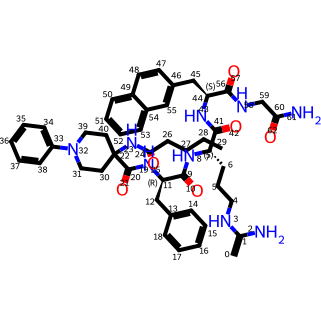 C=C(N)NCCC[C@H](NC(=O)[C@@H](Cc1ccccc1)NC(=O)C1(NC(=O)CCCC)CCN(c2ccccc2)CC1)C(=O)N[C@@H](Cc1ccc2ccccc2c1)C(=O)NCC(N)=O